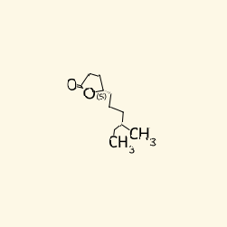 CCC(C)CCC[C@H]1CCC(=O)O1